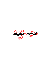 OC(COCC(O)C(O)CC1CO1)C(O)CC1CO1